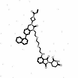 C=CC(=O)N1CC(N2Cc3ccc(-c4cccc5ccccc45)cc3N(CCOCCOCCNc3cccc4c3C(=O)N(C3CCC(=O)NC3=O)C4=O)C2=O)C1